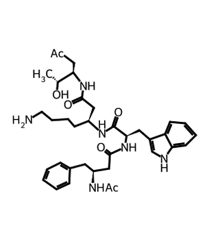 CC(=O)C[C@@H](NC(=O)C[C@H](CCCCN)NC(=O)[C@@H](Cc1c[nH]c2ccccc12)NC(=O)C[C@H](Cc1ccccc1)NC(C)=O)[C@@H](C)O